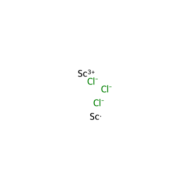 [Cl-].[Cl-].[Cl-].[Sc+3].[Sc]